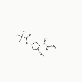 CNC(=O)[C@H]1C[C@@H](OC(=O)C(F)(F)F)CN1C